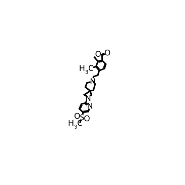 Cc1c(CCN2CCC3(CC2)CN(c2ccc(S(C)(=O)=O)cn2)C3)ccc2c1COC2=O